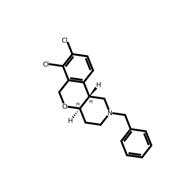 Clc1ccc2c(c1Cl)CO[C@@H]1CCN(Cc3ccccc3)C[C@@H]21